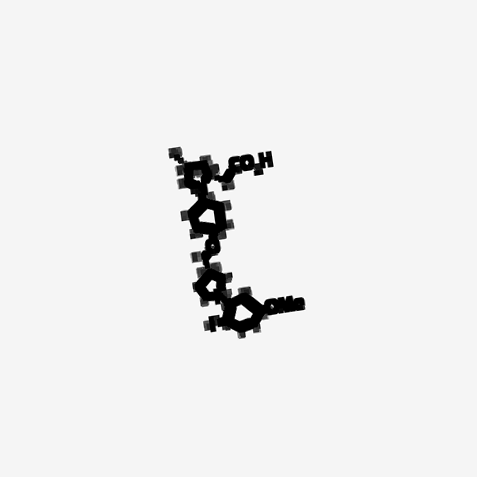 COc1ccc(F)c(N2CC[C@H](COc3ccc(N4C[C@H](C)C[C@@H]4CC(=O)O)cc3)C2)c1